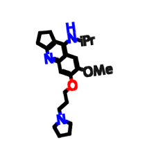 COc1cc2c(NC(C)C)c3c(nc2cc1OCCCN1CCCC1)CCC3